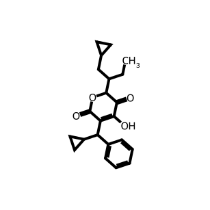 CCC(CC1CC1)C1OC(=O)C(C(c2ccccc2)C2CC2)=C(O)C1=O